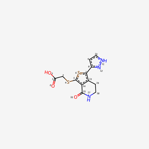 O=C(O)CSc1sc(-c2cc[nH]n2)c2c1C(=O)NCC2